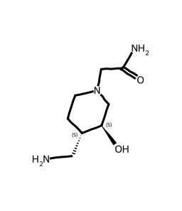 NC[C@@H]1CCN(CC(N)=O)C[C@H]1O